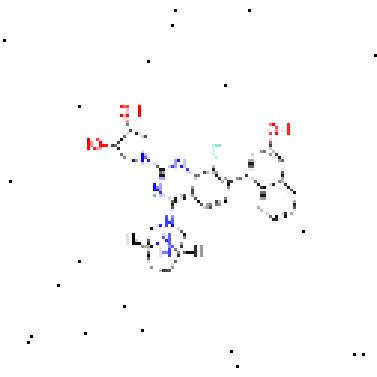 Oc1cc(-c2ccc3c(N4C[C@H]5CC[C@@H](C4)N5)nc(N4C[C@@H](O)[C@H](O)C4)nc3c2F)c2ccccc2c1